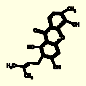 CC(C)=CCc1c(O)cc2oc3c(O)c(C)ccc3c(=O)c2c1O